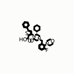 O=C(O)c1sc(-c2ccccc2)cc1N1C(=O)CN(Cc2cccc(F)c2N2CCOCC2)C[C@H]1C1CCCCC1